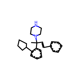 CC(C=Cc1ccccc1)(c1ccccc1C1CCCC1)N1CCNCC1